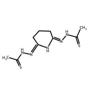 CC(=S)N/N=C1\CCC/C(=N\NC(C)=S)N1